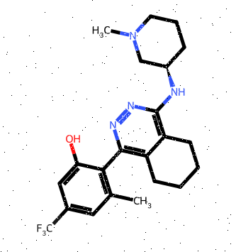 Cc1cc(C(F)(F)F)cc(O)c1-c1nnc(N[C@@H]2CCCN(C)C2)c2c1CCCC2